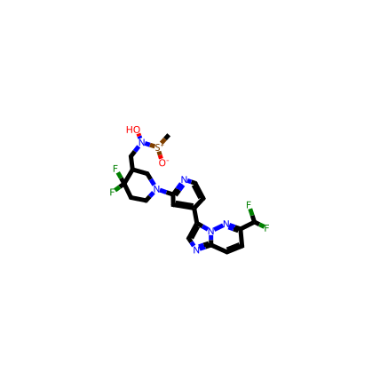 C[S+]([O-])N(O)CC1CN(c2cc(-c3cnc4ccc(C(F)F)nn34)ccn2)CCC1(F)F